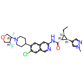 CC[C@@H]1[C@@H](C(=O)Nc2cc3cc(C4CCN([C@]5(C)COC[C@@H]5F)CC4)c(Cl)cc3cn2)[C@@H]1c1cnn(C)c1